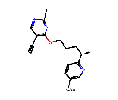 C#Cc1cnc(C)nc1OCCC[C@@H](C)c1ccc(OC)cn1